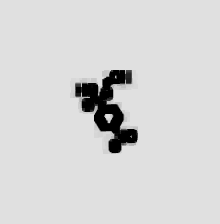 O=[N+]([O-])c1ccc([As](=O)(O)OCO)cc1